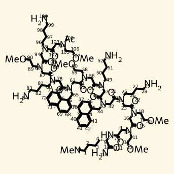 CNCCCC[C@H](NC(=O)CN(CCOC)C(=O)CN(CCOC)C(=O)CN(CCCCN)C(=O)CN(Cc1cccc2ccccc12)C(=O)CN(CCCCN)C(=O)CN(CCOC)C(=O)CN(Cc1cccc2ccccc12)C(=O)CN(CCCCN)C(=O)CN(CCOC)C(=O)CN(CCCCN)C(=O)CN(CCOC)C(C)=O)C(N)=O